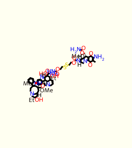 CC[C@]1(O)C[C@H]2CN(CCc3c([nH]c4ccccc34)[C@@](C(=O)OC)(c3cc4c(cc3OC)N(C)[C@H]3[C@@](O)(C(=O)NNC(=O)OCCSSCCOC(=O)N5[C@H]6[C@@H]5CN5C7=C(C(=O)C(N)=C(C)C7=O)[C@@H](COC(N)=O)[C@@]65OC)[C@H](O)[C@]5(CC)C=CCN6CC[C@]43[C@@H]65)C2)C1